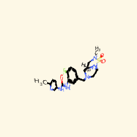 Cc1ccc(NC(=O)Nc2cc(CN3CCN4[C@H](C3)CN(C)S4(=O)=O)ccc2F)cn1